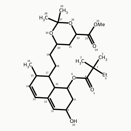 CCC(C)(C)C(=O)OC1CC(O)C=C2C=CC(C)C(CCC3CC(C(=O)OC)OC(C)(C)O3)C21